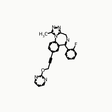 Cc1nnc2n1-c1ccc(C#CCOc3ncccn3)cc1C(c1ccccc1F)=NC2